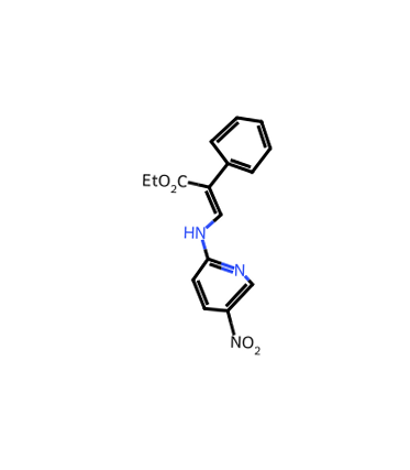 CCOC(=O)/C(=C\Nc1ccc([N+](=O)[O-])cn1)c1ccccc1